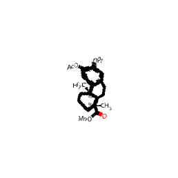 CCCc1cc2c(cc1OC(C)=O)[C@@]1(C)CCC[C@@](C)(C(=O)OC)C1CC2